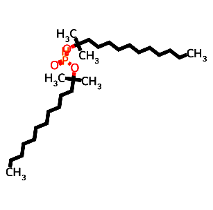 CCCCCCCCCCCC(C)(C)O[PH](=O)OC(C)(C)CCCCCCCCCCC